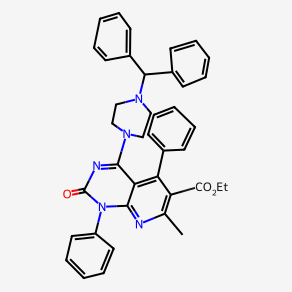 CCOC(=O)c1c(C)nc2c(c(N3CCN(C(c4ccccc4)c4ccccc4)CC3)nc(=O)n2-c2ccccc2)c1-c1ccccc1